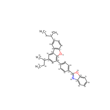 CCC(C)c1ccc2oc3c(-c4ccc(-c5nc6ccccc6o5)cc4)cc(C(C)CC)cc3c2c1